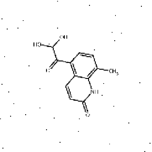 Cc1ccc(C(=O)C(O)O)c2ccc(=O)[nH]c12